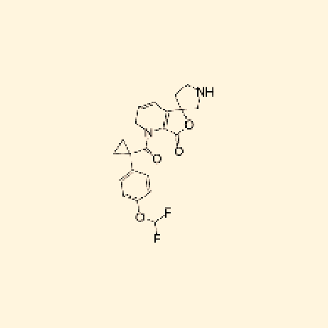 O=C1OC2(CCNC2)C2=C1N(C(=O)C1(c3ccc(OC(F)F)cc3)CC1)CC=C2